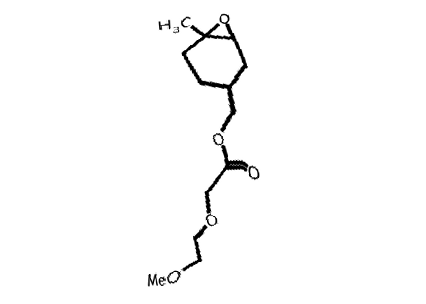 COCCOCC(=O)OCC1CCC2(C)OC2C1